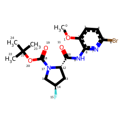 COc1ccc(Br)nc1NC(=O)[C@@H]1C[C@@H](F)CN1C(=O)OC(C)(C)C